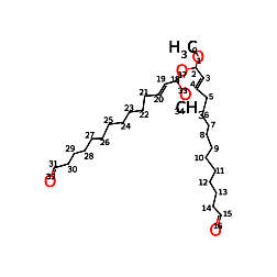 COC(C=CCCCCCCCCCCC=O)OC(C=CCCCCCCCCCCC=O)OC